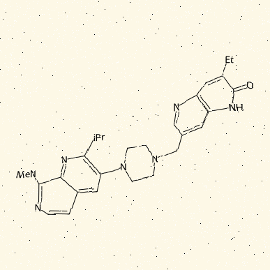 CCc1cc2ncc(CN3CCN(c4cc5ccnc(NC)c5nc4C(C)C)CC3)cc2[nH]c1=O